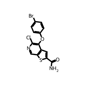 NC(=O)c1cc2c(Oc3ccc(Br)cc3)c(Cl)ncc2s1